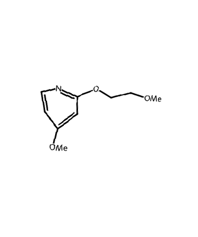 COCCOc1cc(OC)ccn1